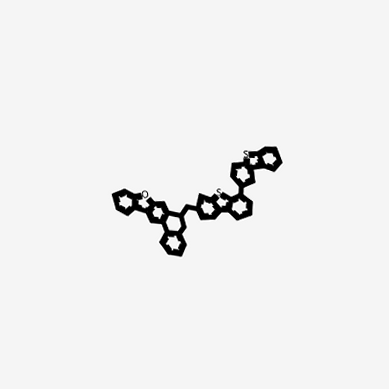 c1ccc2c(c1)CC(Cc1ccc3c(c1)sc1c(-c4ccc5sc6ccccc6c5c4)cccc13)c1cc3oc4ccccc4c3cc1-2